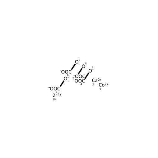 O=C([O-])[O-].O=C([O-])[O-].O=C([O-])[O-].O=C([O-])[O-].[Ca+2].[Co+2].[Zr+4]